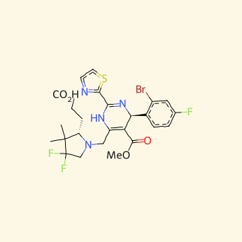 COC(=O)C1=C(CN2CC(F)(F)C(C)(C)[C@@H]2CCC(=O)O)NC(c2nccs2)=N[C@H]1c1ccc(F)cc1Br